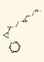 CCCCCCCCCCCNCCN[C@@H]1C[C@H]1c1ccccc1